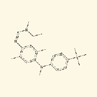 CCN(C)/C=N\c1cc(C)c(N(C)c2ccc(C(C)(C)C)cc2)cc1C